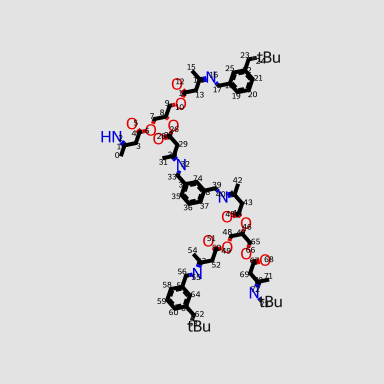 CC(=N)CC(=O)OCC(COC(=O)C/C(C)=N\Cc1cccc(CC(C)(C)C)c1)OC(=O)C/C(C)=N/Cc1cccc(C/N=C(\C)CC(=O)OC(COC(=O)C/C(C)=N/Cc2cccc(CC(C)(C)C)c2)COC(=O)C/C(C)=N/C(C)(C)C)c1